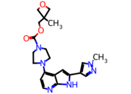 Cn1cc(-c2cc3c(N4CCN(C(=O)OCC5(C)COC5)CC4)ccnc3[nH]2)cn1